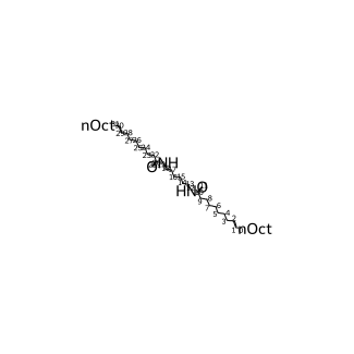 CCCCCCCCC=CCCCCCCCC(=O)NCCCCCCNC(=O)CCCCCCCC=CCCCCCCCC